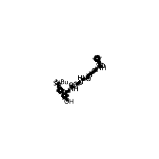 CC(C)(C)[Si](C)(C)OCc1ccc(-c2ccc(CO)cc2CCCNC(=O)COCCOCCNC(=O)COCCOCCNC(=O)OCc2ccccc2)cc1